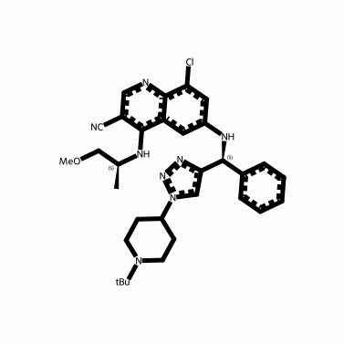 COC[C@H](C)Nc1c(C#N)cnc2c(Cl)cc(N[C@@H](c3ccccc3)c3cn(C4CCN(C(C)(C)C)CC4)nn3)cc12